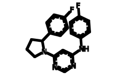 Fc1ccc(Nc2cc(N3CCCC3c3ccc(F)cc3)ncn2)cc1